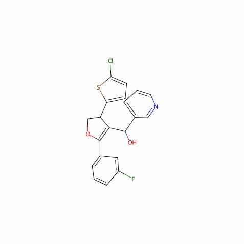 OC(C1=C(c2cccc(F)c2)OCC1c1ccc(Cl)s1)c1cccnc1